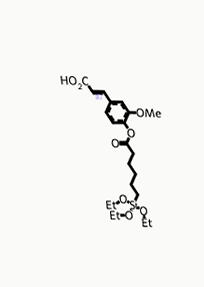 CCO[Si](CCCCCC(=O)Oc1ccc(/C=C/C(=O)O)cc1OC)(OCC)OCC